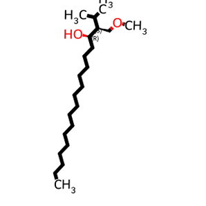 CCCCCCCCCCCCCCC[C@@H](O)[C@H](COC)C(C)C